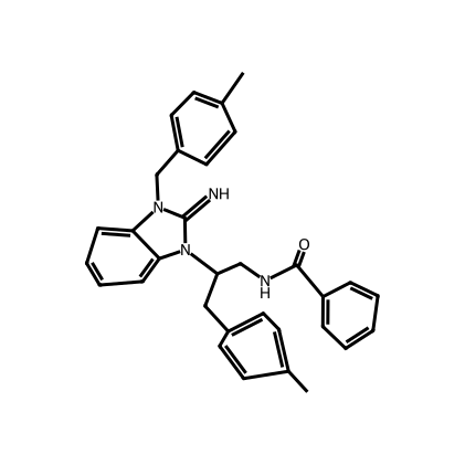 Cc1ccc(CC(CNC(=O)c2ccccc2)n2c(=N)n(Cc3ccc(C)cc3)c3ccccc32)cc1